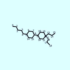 CCCCCC1CCC(C2CCC(CCC)(SCC)CC2)CC1